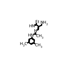 CCC(=N)/C(=C\N=C(/C)Nc1cc(C)cc(C)c1)CN